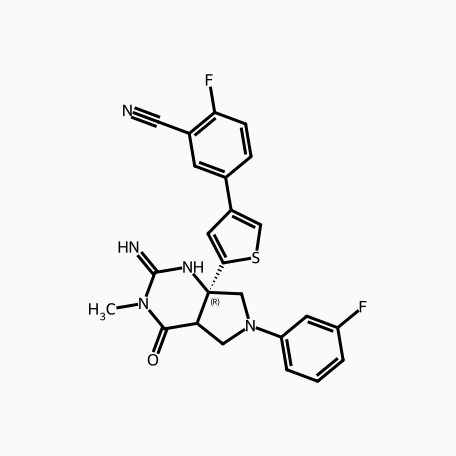 CN1C(=N)N[C@@]2(c3cc(-c4ccc(F)c(C#N)c4)cs3)CN(c3cccc(F)c3)CC2C1=O